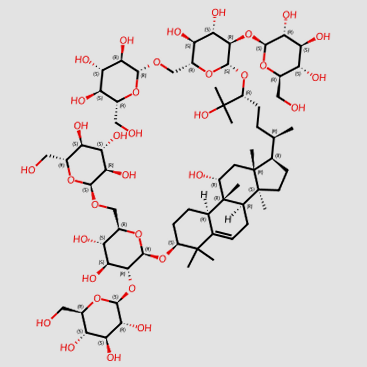 C[C@H](CC[C@@H](O[C@@H]1O[C@H](CO[C@@H]2O[C@H](CO)[C@@H](O)[C@H](O)[C@H]2O)[C@@H](O)[C@H](O)[C@H]1O[C@@H]1O[C@H](CO)[C@@H](O)[C@H](O)[C@H]1O)C(C)(C)O)[C@H]1CC[C@@]2(C)[C@H]3CC=C4[C@@H](CC[C@H](O[C@@H]5O[C@H](CO[C@H]6O[C@H](CO)[C@@H](O)[C@H](O)[C@H]6O)[C@@H](O)[C@H](O)[C@H]5O[C@@H]5O[C@H](CO)[C@@H](O)[C@H](O)[C@H]5O)C4(C)C)[C@]3(C)[C@H](O)C[C@]12C